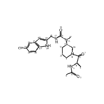 CC(=O)NC(C)C(=O)N1CCC[C@@H](N(C)C(=O)NCc2cc3cc(Cl)ccc3[nH]2)C1